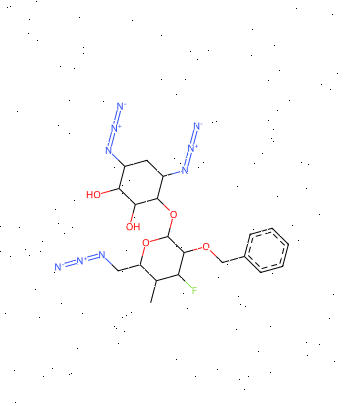 CC1C(CN=[N+]=[N-])OC(OC2C(N=[N+]=[N-])CC(N=[N+]=[N-])C(O)C2O)C(OCc2ccccc2)C1F